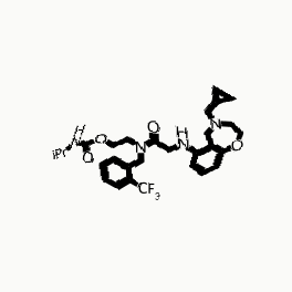 CC(C)NC(=O)OCCN(Cc1ccccc1C(F)(F)F)C(=O)CNc1cccc2c1CN(CC1CC1)CCO2